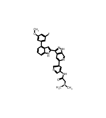 COc1cc(F)cc(-c2cccc3[nH]c(-c4n[nH]c5cnc(-c6cncc(NC(=O)CN(C)C)c6)cc45)cc23)c1